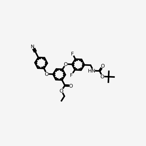 CCOC(=O)c1cc(Oc2ccc(C#N)cc2)cc(Oc2c(F)cc(CNC(=O)OC(C)(C)C)cc2F)c1